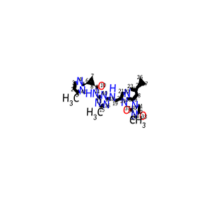 Cc1ccnc([C@H]2C[C@@H]2C(=O)Nc2nc(C)nc(NCc3cn4cc(C5CC5)cc(N5CC(=O)N(C)C5=O)c4n3)n2)n1